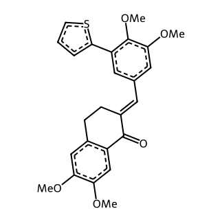 COc1cc2c(cc1OC)C(=O)C(=Cc1cc(OC)c(OC)c(-c3cccs3)c1)CC2